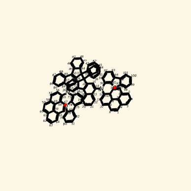 C1=Cc2cccc3c2C2C1=CC=C(N(c1cc4c(c5ccccc15)-c1ccccc1C4(c1ccccc1)C1(c4ccccc4)c4ccccc4-c4c1cc(N(c1ccc5ccc6cccc7ccc1c5c67)c1cccc5c1oc1ccccc15)c1ccccc41)c1cccc4c1oc1ccccc14)C2C=C3